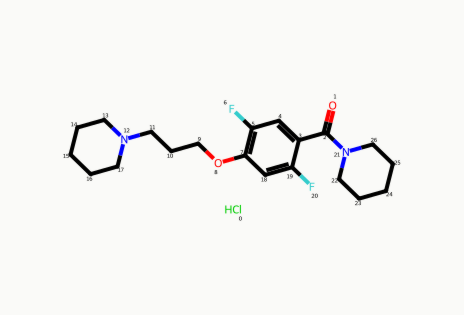 Cl.O=C(c1cc(F)c(OCCCN2CCCCC2)cc1F)N1CCCCC1